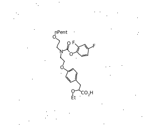 CCCCCOCCN(CCOc1ccc(CC(OCC)C(=O)O)cc1)C(=O)Oc1ccc(F)cc1F